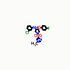 Cn1cnc(S(=O)(=O)N2CC(Nc3cccc(Cl)c3)C(Oc3ccc(F)cc3)C2)c1